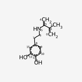 C=C(C)C(=C)NCCc1ccc(O)c(O)c1